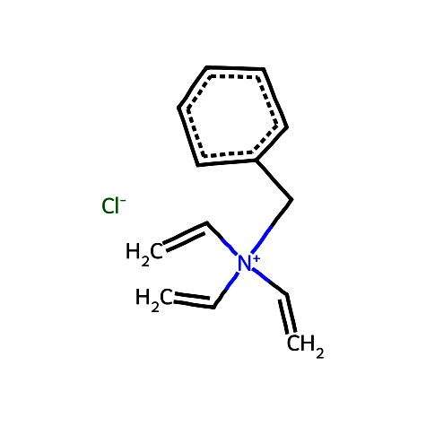 C=C[N+](C=C)(C=C)Cc1ccccc1.[Cl-]